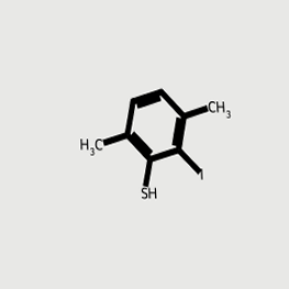 Cc1ccc(C)c(I)c1S